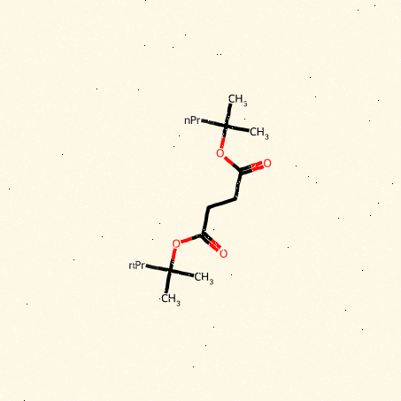 CCCC(C)(C)OC(=O)CCC(=O)OC(C)(C)CCC